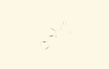 CC(C)c1csc(-c2ccsc2)n1